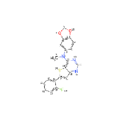 CN(c1ccc2c(c1)OCO2)c1ncnc2cc(-c3ccccc3F)sc12